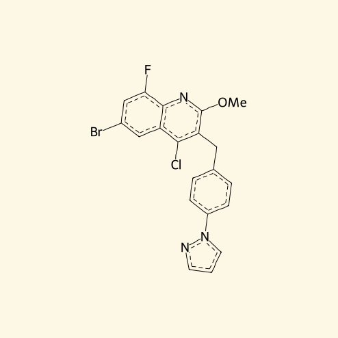 COc1nc2c(F)cc(Br)cc2c(Cl)c1Cc1ccc(-n2cccn2)cc1